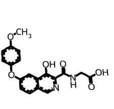 COc1ccc(Oc2ccc3cnc(C(=O)NCC(=O)O)c(O)c3c2)cc1